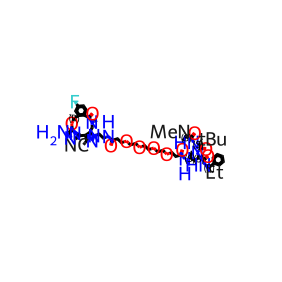 CC[C@@H](NC(=O)[C@@H]1C[C@H](NC(=O)CCOCCOCCOCCOCCC(=O)NCCn2nc(C#N)c3c2CN(C)C(=O)c2ccc(F)cc2[C@@H](C)Oc2nc-3cnc2N)CN1C(=O)[C@@H](NC(=O)[C@H](C)NC)C(C)(C)C)c1ccccc1